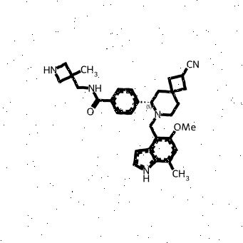 COc1cc(C)c2[nH]ccc2c1CN1CCC2(CC(C#N)C2)C[C@H]1c1ccc(C(=O)NCC2(C)CNC2)cc1